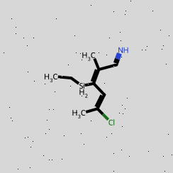 CC[SiH2]C(/C=C(\C)Cl)=C(\C)C=N